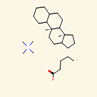 CC(CCC(=O)O)[C@H]1CC[C@H]2[C@@H]3CCC4CCCC[C@]4(C)[C@H]3CC[C@]12C.C[N+](C)(C)C